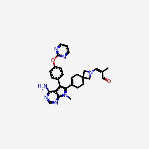 CC(C=O)=CN1CC2(CC=C(c3c(-c4ccc(Oc5ncccn5)cc4)c4c(N)ncnc4n3C)CC2)C1